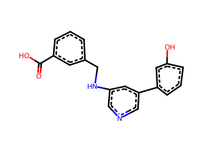 O=C(O)c1cccc(CNc2cncc(-c3cccc(O)c3)c2)c1